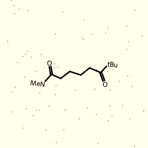 CNC(=O)CCCCC(=O)C(C)(C)C